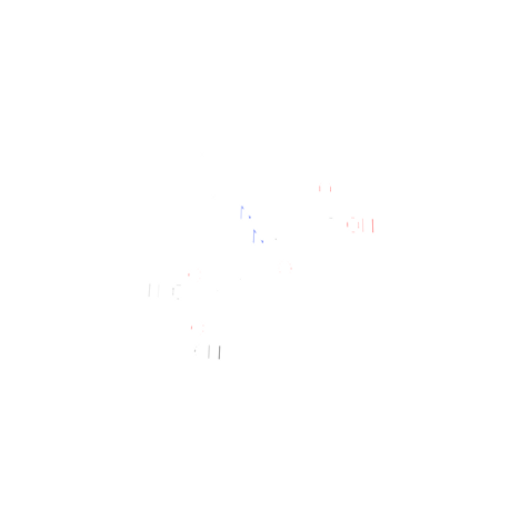 COc1cccc(C2CC(c3ccccc3)=NN2C(=O)CCC(=O)O)c1OC